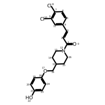 O=C(C=Cc1ccc(Cl)c(Cl)c1)N1CCC(COc2ccc(O)cc2)CC1